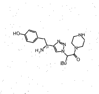 CCC(C)C(C(=O)N1CCNCC1)n1cc([C@@H](N)Cc2ccc(O)cc2)nn1